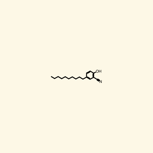 CCCCCCCCCCc1ccc(O)c(C#N)c1